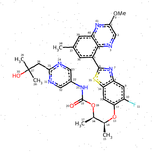 COc1cnc2c(-c3nc4cc(F)c(O[C@@H](C)[C@@H](C)OC(=O)Nc5cnc(CC(C)(C)O)nc5)cc4s3)cc(C)cc2n1